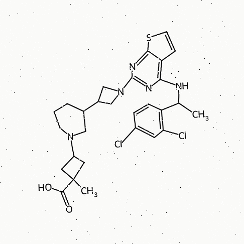 CC(Nc1nc(N2CC(C3CCCN(C4CC(C)(C(=O)O)C4)C3)C2)nc2sccc12)c1ccc(Cl)cc1Cl